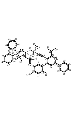 COP(=O)(C#Cc1c(-c2ccc(F)cc2C)cc(-c2ccccc2)nc1C(C)C)C[C@H](CC(=O)O)O[Si](c1ccccc1)(c1ccccc1)C(C)(C)C